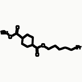 CC(C)CCCCCOC(=O)C1CCC(C(=O)OC(C)(C)C)CC1